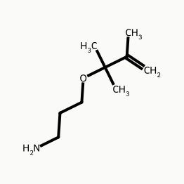 C=C(C)C(C)(C)OCCCN